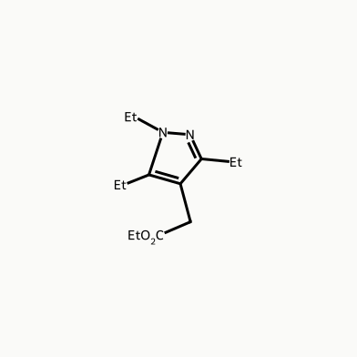 CCOC(=O)Cc1c(CC)nn(CC)c1CC